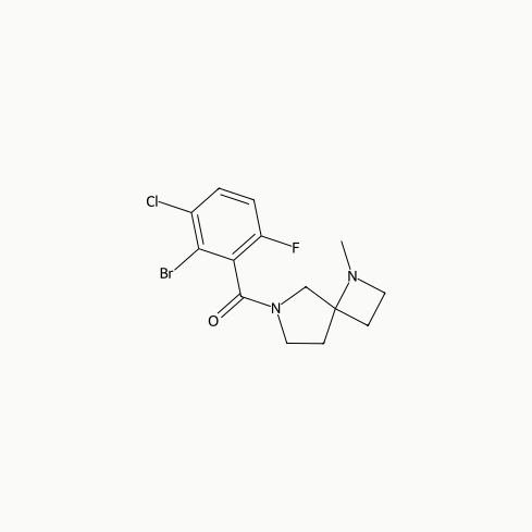 CN1CCC12CCN(C(=O)c1c(F)ccc(Cl)c1Br)C2